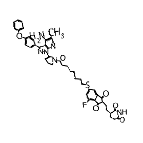 Cc1cnc2c(c(-c3ccc(Oc4ccccc4)cc3)nn2C2=CCCN(C(=O)CCCCCCCSc3cc(F)c4c(c3)C(=O)C(CCC3CCC(=O)NC3=O)C4=O)C2)c1N